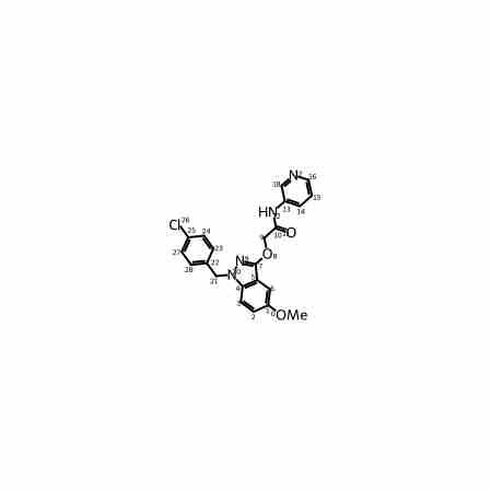 COc1ccc2c(c1)c(OCC(=O)Nc1cccnc1)nn2Cc1ccc(Cl)cc1